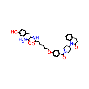 NC(=O)[C@H](Cc1ccc(O)cc1)NC(=O)CCCCCOc1ccc(C(=O)N2CCC(N3C(=O)CCc4ccccc43)CC2)cc1